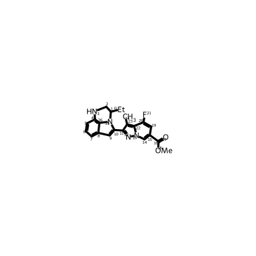 CCC1CNc2cccc3cc(-c4nn5cc(C(=O)OC)cc(F)c5c4C)n1c23